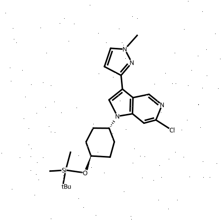 Cn1ccc(-c2cn([C@H]3CC[C@H](O[Si](C)(C)C(C)(C)C)CC3)c3cc(Cl)ncc23)n1